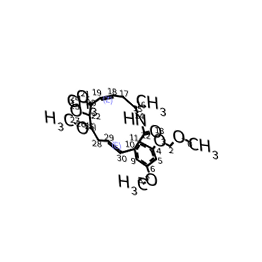 COCOc1cc(OC)cc2c1C(=O)NC(C)C/C=C\C(=O)C(OC)[C@@H](OC)C/C=C/2